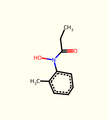 CCC(=O)N(O)c1ccccc1C